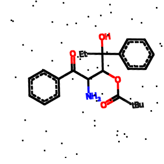 CCC(O)(c1ccccc1)C(OC(=O)C(C)(C)C)C(N)C(=O)c1ccccc1